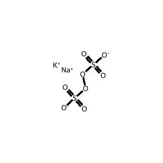 O=S(=O)([O-])OOS(=O)(=O)[O-].[K+].[Na+]